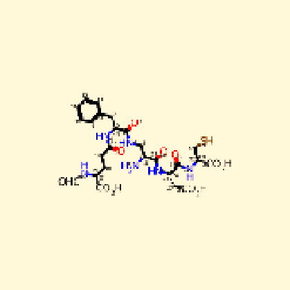 N[C@@H](CNC(=O)[C@H](Cc1ccccc1)NC(=O)CC[C@H](NC=O)C(=O)O)C(=O)N[C@@H](CC(=O)O)C(=O)N[C@@H](CS)C(=O)O